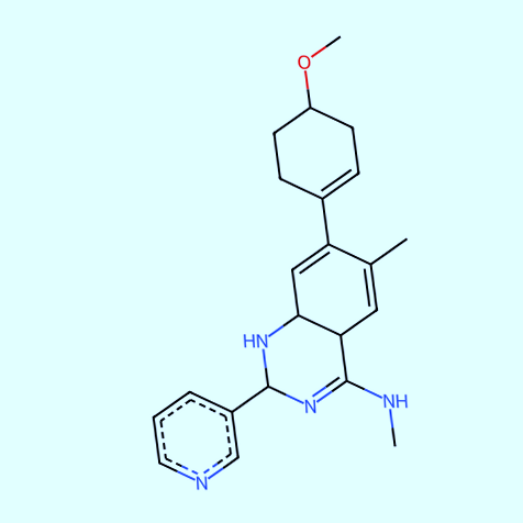 CNC1=NC(c2cccnc2)NC2C=C(C3=CCC(OC)CC3)C(C)=CC12